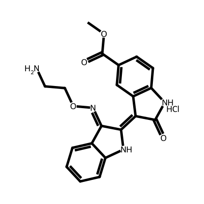 COC(=O)c1ccc2c(c1)/C(=C1/Nc3ccccc3/C1=N\OCCN)C(=O)N2.Cl